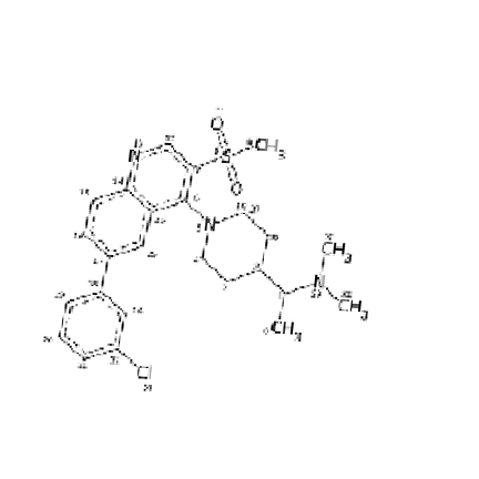 CC(C1CCN(c2c(S(C)(=O)=O)cnc3ccc(-c4cccc(Cl)c4)cc23)CC1)N(C)C